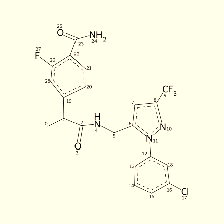 CC(C(=O)NCc1cc(C(F)(F)F)nn1-c1cccc(Cl)c1)c1ccc(C(N)=O)c(F)c1